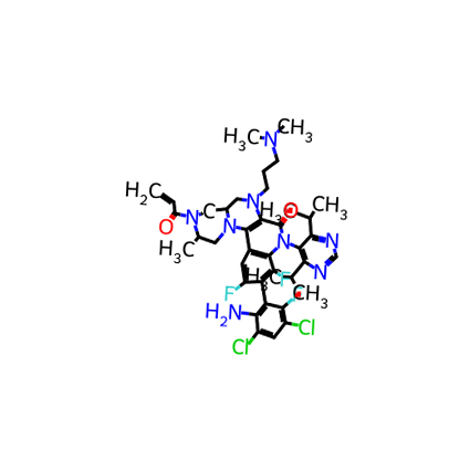 C=CC(=O)N1CC2CN(CCCN(C)C)c3c(c4cc(F)c(-c5c(N)c(Cl)cc(Cl)c5F)c(F)c4n(-c4c(C(C)C)ncnc4C(C)C)c3=O)N2CC1C